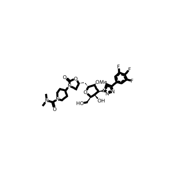 CO[C@@H]1[C@@H](n2cc(-c3cc(F)c(F)c(F)c3)nn2)[C@@H](O)[C@@H](CO)O[C@@H]1C[C@@H]1CN(C2CCN(C(=O)N(C)C)CC2)C(=O)O1